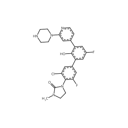 CN1CCN(c2c(F)cc(-c3cc(F)cc(-c4ccnc(N5CCNCC5)c4)c3O)cc2Cl)C1=O